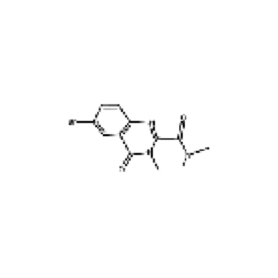 CN(C)C(=O)c1nc2ccc(Br)cc2c(=O)n1C